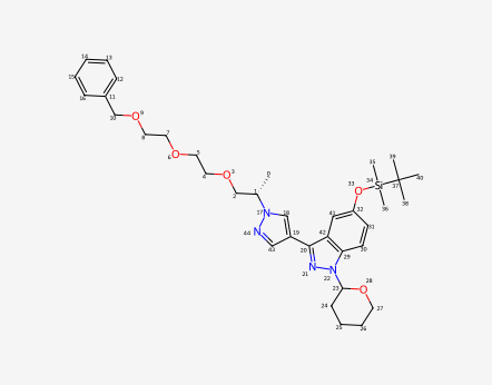 C[C@@H](COCCOCCOCc1ccccc1)n1cc(-c2nn(C3CCCCO3)c3ccc(O[Si](C)(C)C(C)(C)C)cc23)cn1